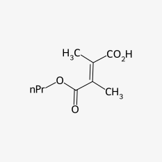 CCCOC(=O)C(C)=C(C)C(=O)O